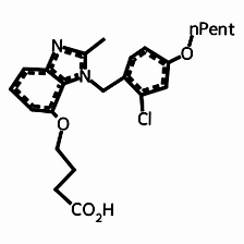 CCCCCOc1ccc(Cn2c(C)nc3cccc(OCCCC(=O)O)c32)c(Cl)c1